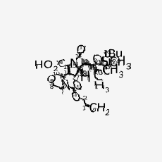 C=CCOC(=O)N1CCOC[C@H]1C1=C(C(=O)O)N2C(=O)[C@H]([C@@H](C)O[Si](C)(C)C(C)(C)C)[C@H]2C1